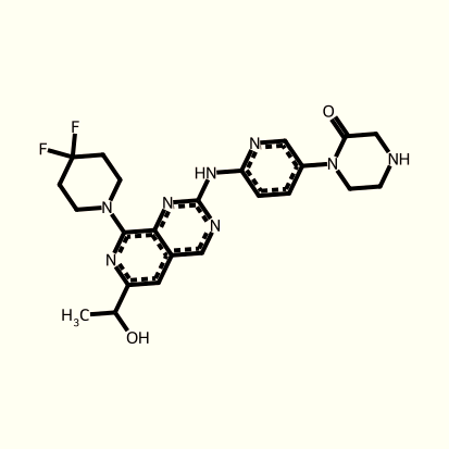 CC(O)c1cc2cnc(Nc3ccc(N4CCNCC4=O)cn3)nc2c(N2CCC(F)(F)CC2)n1